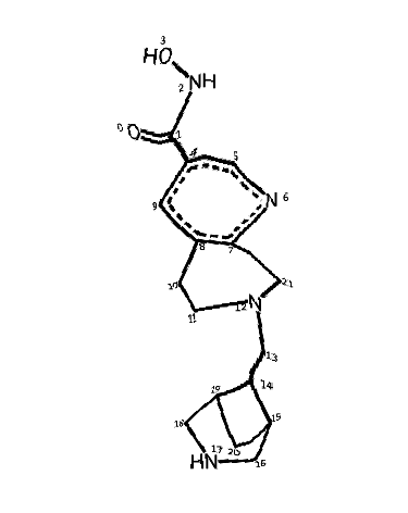 O=C(NO)c1cnc2c(c1)CCN(CC1C3CNCC1C3)C2